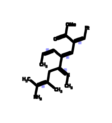 C\C=C/C(=C\C(=C\CC)C(=O)OC)C(/C/C(C)=C(\C)N)=N/C